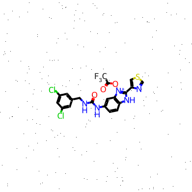 O=C(NCc1cc(Cl)cc(Cl)c1)Nc1ccc2[nH]c(-c3cscn3)[n+](OC(=O)C(F)(F)F)c2c1